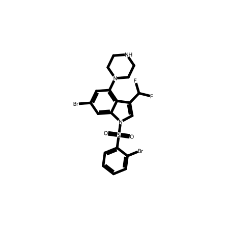 O=S(=O)(c1ccccc1Br)n1cc(C(F)F)c2c(N3CCNCC3)cc(Br)cc21